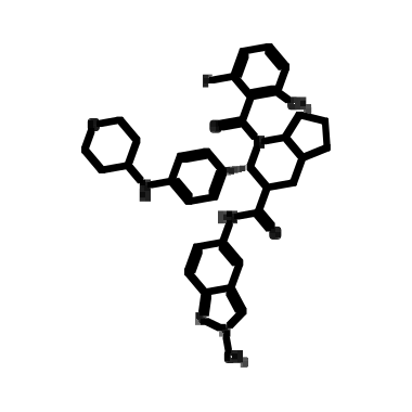 Cc1cccc(F)c1C(=O)N1C2CCCC2CC(C(=O)Nc2ccc3nn(C)cc3c2)[C@@H]1c1ccc(NC2CCOCC2)cc1